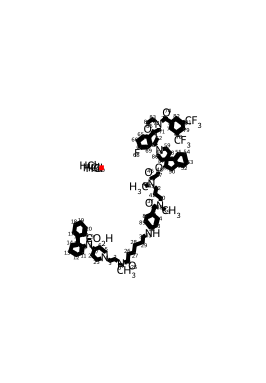 CN(CCN1CCC(N(C(=O)O)c2ccccc2-c2ccccc2)CC1)C(=O)CCCCCNc1ccc(C(=O)N(C)CCCN(C)C(=O)CO[C@H]2Cc3ccccc3C23CCN(CC[C@@]2(c4ccc(F)cc4)CN(C(=O)c4cc(C(F)(F)F)cc(C(F)(F)F)c4)CCO2)CC3)cc1.Cl.Cl.Cl